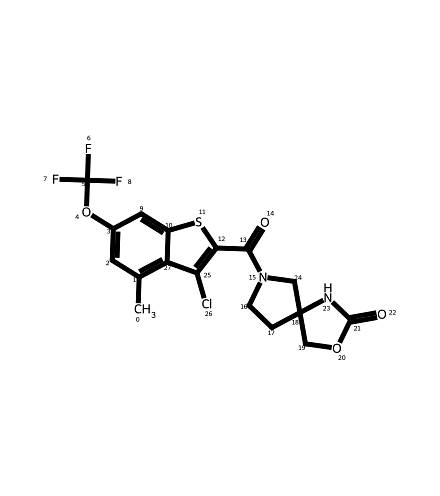 Cc1cc(OC(F)(F)F)cc2sc(C(=O)N3CCC4(COC(=O)N4)C3)c(Cl)c12